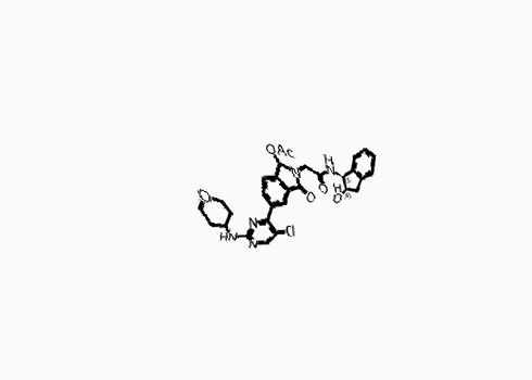 CC(=O)OC1c2ccc(-c3nc(NC4CCOCC4)ncc3Cl)cc2C(=O)N1CC(=O)N[C@H]1c2ccccc2C[C@H]1O